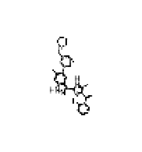 C=C(c1ccccc1F)c1nc(-c2n[nH]c3cc(C)c(-c4cncc(CN5CCCC5)c4)cc23)[nH]c1C